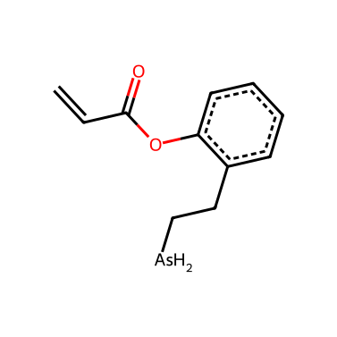 C=CC(=O)Oc1ccccc1CC[AsH2]